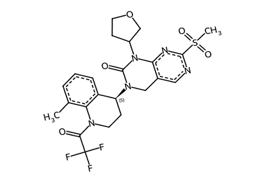 Cc1cccc2c1N(C(=O)C(F)(F)F)CC[C@@H]2N1Cc2cnc(S(C)(=O)=O)nc2N(C2CCOC2)C1=O